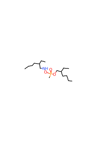 CCCCC(CC)CNOP(C)(=O)OCC(CC)CCCC